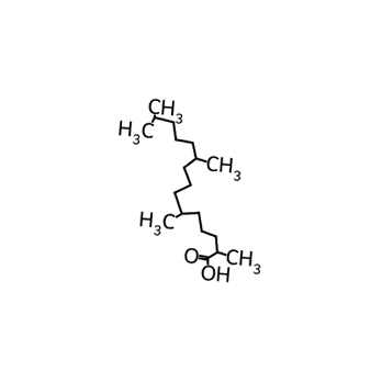 CC(C)CCCC(C)CCCC(C)CCCC(C)C(=O)O